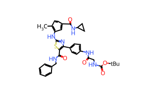 Cc1ccc(C(=O)NC2CC2)cc1Nc1nc(-c2ccc(NC(=O)CNC(=O)OC(C)(C)C)cc2)c(C(=O)NCc2ccccc2)s1